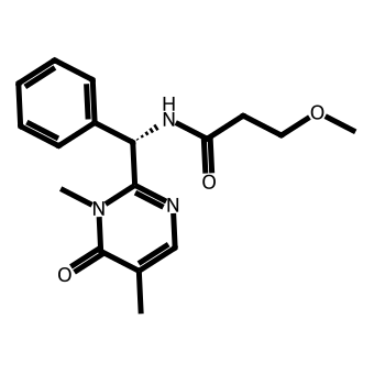 COCCC(=O)N[C@@H](c1ccccc1)c1ncc(C)c(=O)n1C